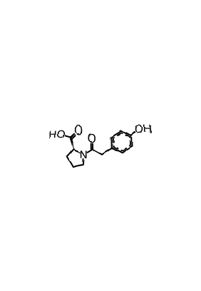 O=C(O)[C@@H]1CCCN1C(=O)Cc1ccc(O)cc1